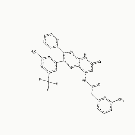 Cc1cccc(CC(=O)Nc2cc(=O)[nH]c3nc(-c4ccccc4)c(-c4cc(C)nc(C(F)(F)F)c4)nc23)n1